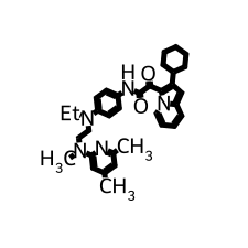 CCN(CCN(C)c1cc(C)cc(C)n1)c1ccc(NC(=O)C(=O)c2c(C3CCCCC3)cc3ccccn23)cc1